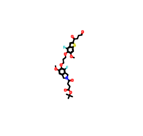 COc1cc2c(c(F)c1OCCCOc1c(OC)cc3sc(C(=O)CCC=O)cc3c1F)CN(C(=O)CCC(=O)OC(C)(C)C)C2